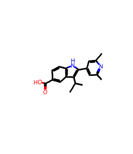 Cc1cc(-c2[nH]c3ccc(C(=O)O)cc3c2C(C)C)cc(C)n1